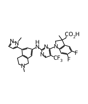 CN1CCc2c(cc(Nc3ncc(C(F)(F)F)c(N4CC(C)(CC(=O)O)c5cc(F)c(F)cc54)n3)cc2-c2ccnn2C)C1